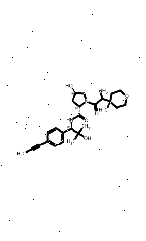 CC#Cc1ccc([C@@H](NC(=O)[C@@H]2C[C@@H](O)CN2C(=O)C(N)C2(C)CCOCC2)C(C)(C)O)cc1